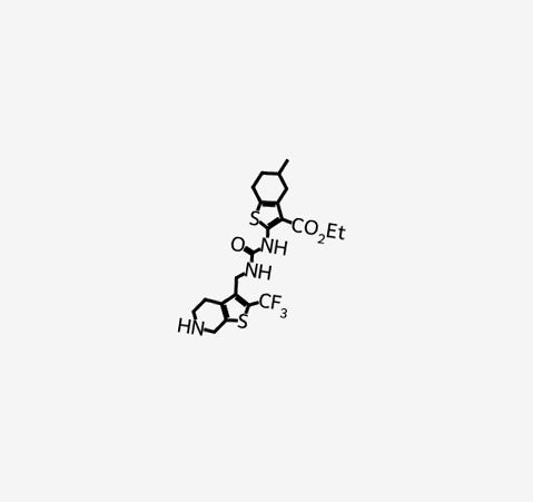 CCOC(=O)c1c(NC(=O)NCc2c(C(F)(F)F)sc3c2CCNC3)sc2c1CC(C)CC2